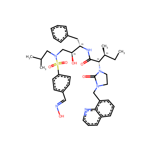 CC[C@H](C)[C@@H](C(=O)N[C@@H](Cc1ccccc1)[C@@H](O)CN(CC(C)C)S(=O)(=O)c1ccc(C=NO)cc1)N1CCN(Cc2cccc3cccnc23)C1=O